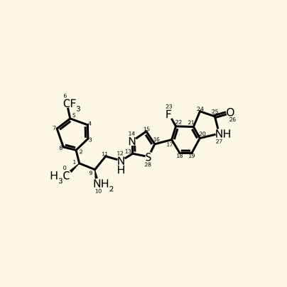 C[C@@H](c1ccc(C(F)(F)F)cc1)[C@H](N)CNc1ncc(-c2ccc3c(c2F)CC(=O)N3)s1